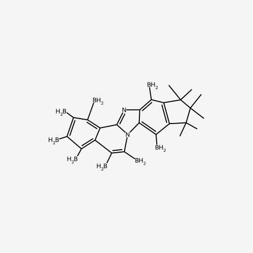 Bc1c(B)c(B)c2c(c1B)c(B)c(B)n1c2nc2c(B)c3c(c(B)c21)C(C)(C)C(C)(C)C3(C)C